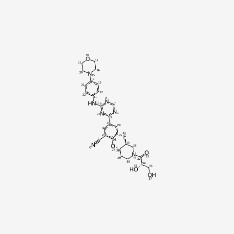 N#Cc1cc(-c2ncnc(Nc3ccc(N4CCOCC4)cc3)n2)ccc1O[C@H]1CCN(C(=O)[C@@H](O)CO)C[C@@H]1F